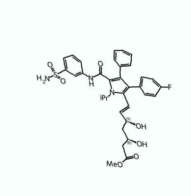 COC(=O)C[C@H](O)C[C@H](O)C=Cc1c(-c2ccc(F)cc2)c(-c2ccccc2)c(C(=O)Nc2cccc(S(N)(=O)=O)c2)n1C(C)C